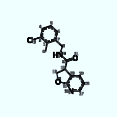 Cc1c(Cl)cccc1CNC(=O)C1COc2ncccc21